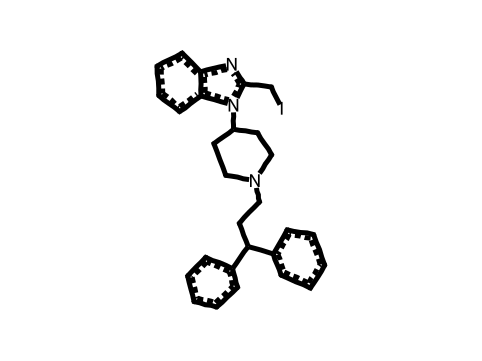 ICc1nc2ccccc2n1C1CCN(CCC(c2ccccc2)c2ccccc2)CC1